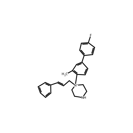 Cc1cc(-c2ccc(F)cc2)ccc1[N+]1(C/C=C/c2ccccc2)CCNCC1